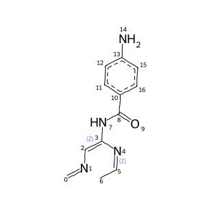 C=N/C=C(\N=C/C)NC(=O)c1ccc(N)cc1